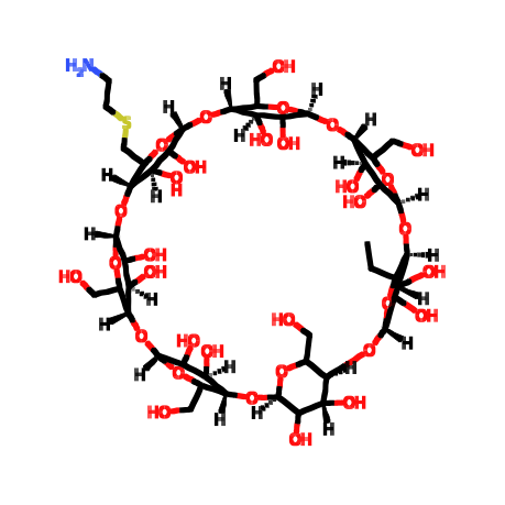 CCC1O[C@H]2O[C@@H]3C(CO)O[C@H](O[C@@H]4C(CO)O[C@H](O[C@@H]5C(CO)O[C@H](O[C@@H]6C(CSCCN)O[C@H](O[C@@H]7C(CO)O[C@@H](O[C@@H]8C(CO)O[C@@H](O[C@H]1[C@H](O)C2O)C(O)[C@H]8O)C(O)[C@H]7O)C(O)[C@H]6O)C(O)[C@H]5O)C(O)[C@H]4O)C(O)[C@H]3O